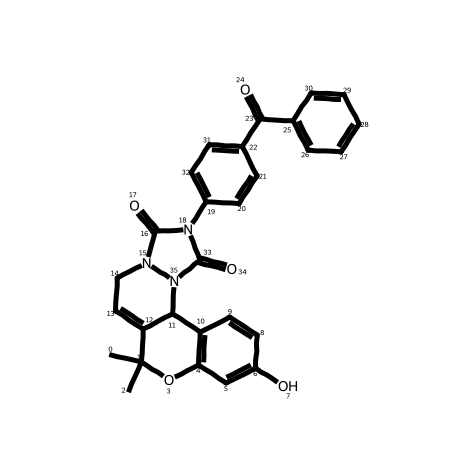 CC1(C)Oc2cc(O)ccc2C2C1=CCn1c(=O)n(-c3ccc(C(=O)c4ccccc4)cc3)c(=O)n12